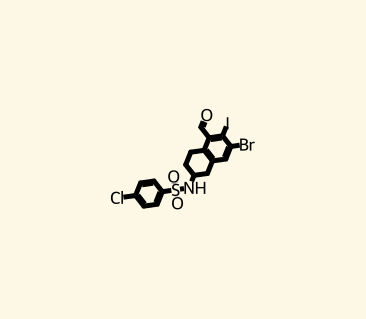 O=Cc1c(I)c(Br)cc2c1CCC(NS(=O)(=O)c1ccc(Cl)cc1)C2